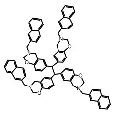 c1ccc2cc(CN3COc4ccc(C(c5ccc6c(c5)CN(Cc5ccc7ccccc7c5)CO6)C(c5ccc6c(c5)CN(Cc5ccc7ccccc7c5)CO6)c5ccc6c(c5)CN(Cc5ccc7ccccc7c5)CO6)cc4C3)ccc2c1